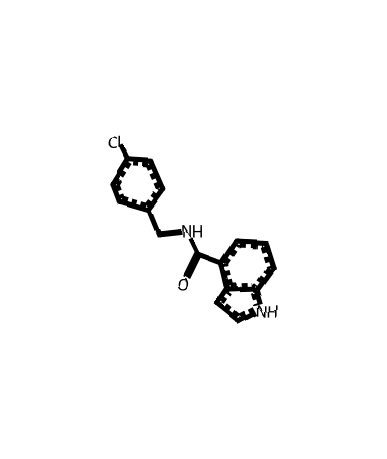 O=C(NCc1ccc(Cl)cc1)c1cccc2[nH]ccc12